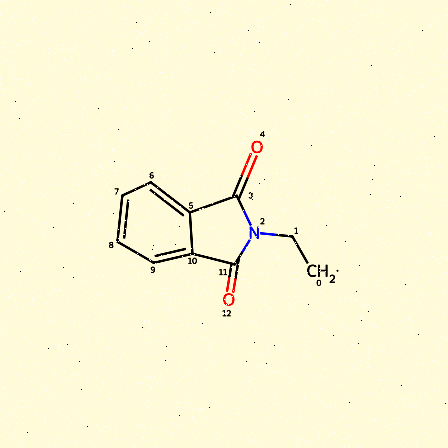 [CH2]CN1C(=O)c2ccccc2C1=O